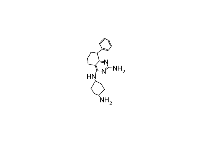 Nc1nc(NC2CCC(N)CC2)c2c(n1)C(c1ccccc1)CCC2